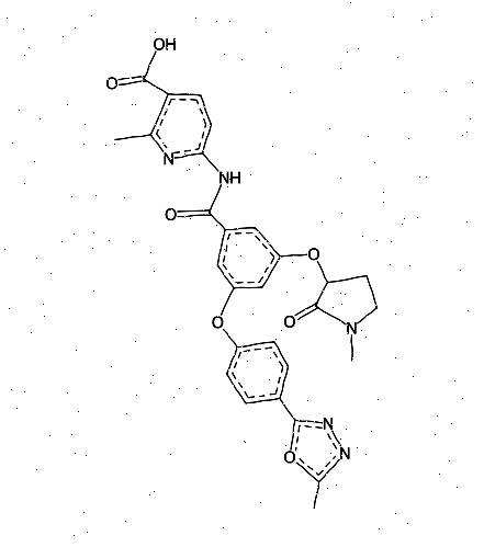 Cc1nnc(-c2ccc(Oc3cc(OC4CCN(C)C4=O)cc(C(=O)Nc4ccc(C(=O)O)c(C)n4)c3)cc2)o1